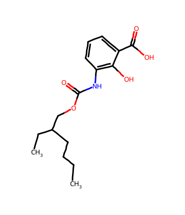 CCCCC(CC)COC(=O)Nc1cccc(C(=O)O)c1O